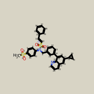 CS(=O)(=O)c1ccc(N(Cc2cccc(-c3cc(C4CC4)cc4cccnc34)c2)S(=O)(=O)/C=C/c2ccccc2)cc1